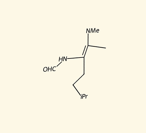 CN/C(C)=C(/CCC(C)C)NC=O